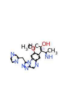 COc1cc2c(cc1/C(C(C)=N)=C(\C)O)ncc1nnc(Cc3cnccn3)n12